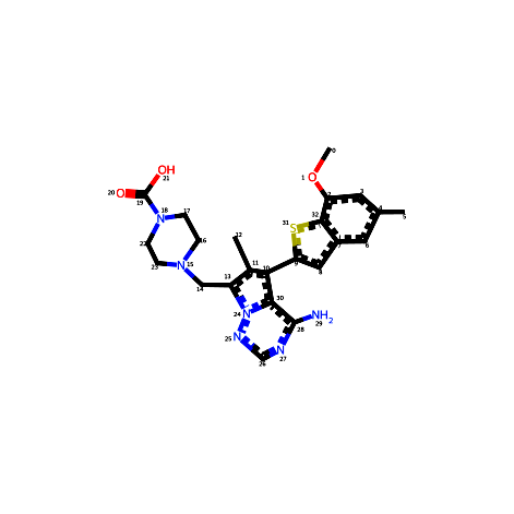 COc1cc(C)cc2cc(-c3c(C)c(CN4CCN(C(=O)O)CC4)n4ncnc(N)c34)sc12